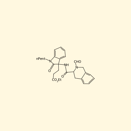 CCCCCN1C(=O)C(CCC(=O)OCC)(NC(=O)C2Cc3ccccc3CN2C=O)c2ccccc21